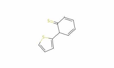 S=C1[C]=CC=CC1c1cccs1